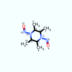 CC1C(C)N(N=O)C(C)C(C)N1N=O